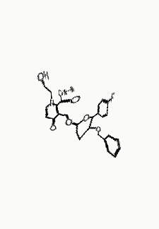 O=C(O)c1c(COC2CCC(OCc3ccccc3)C(c3ccc(F)cc3)O2)c(=O)ccn1CCO